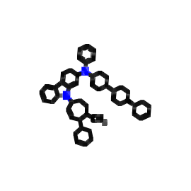 CC1CCC(N2C3=CC(N(C4=CCC(C5=CCC([C@@H]6CC=CCC6)CC5)CC4)c4ccccc4)CC=C3C3=CC=CCC32)C=CC1C1CC=CCC1